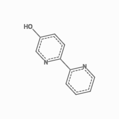 Oc1ccc(-c2ccccn2)nc1